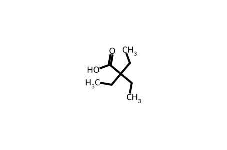 CCC(CC)(CC)C(=O)O